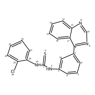 S=C(Nc1cccc(-c2ncnc3ccccc23)c1)Nc1ccccc1Cl